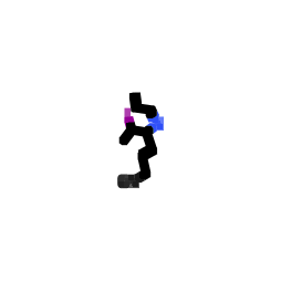 C=C/C=N\C(/C=C/CN=O)C(C)I